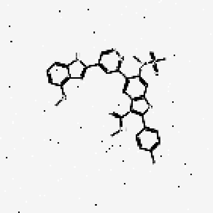 CNC(=O)c1c(-c2ccc(F)cc2)oc2cc(N(C)S(C)(=O)=O)c(-c3cc(-c4cc5c(OC)cccc5[nH]4)cnn3)cc12